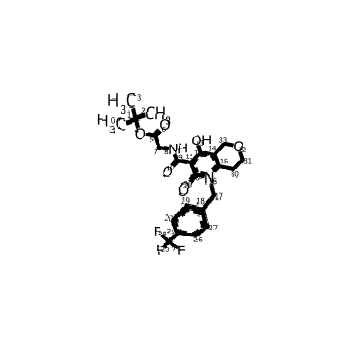 CC(C)(C)OC(=O)CNC(=O)c1c(O)c2c(n(Cc3ccc(C(F)(F)F)cc3)c1=O)CCOC2